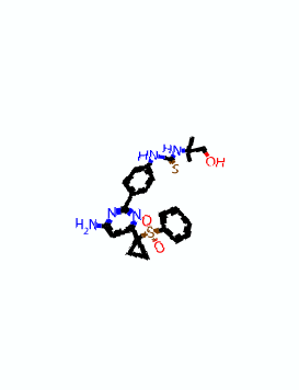 CC(C)(CO)NC(=S)Nc1ccc(-c2nc(N)cc(C3(S(=O)(=O)c4ccccc4)CC3)n2)cc1